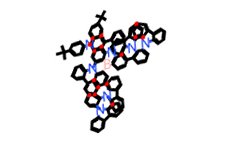 CC(C)(C)c1ccc(N(c2ccc(C(C)(C)C)cc2)c2cc3c4c(c2)N(c2ccccc2-c2ccccc2)c2cc(-c5cccc(-n6c7ccccc7c7ccccc76)c5-n5c6ccccc6c6ccccc65)ccc2B4c2ccc(-c4cccc(-n5c6ccccc6c6ccccc65)c4-n4c5ccccc5c5ccccc54)cc2N3c2ccccc2-c2ccccc2)cc1